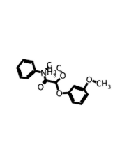 COc1cccc(OC(OC)C(=O)N(C)c2ccccc2)c1